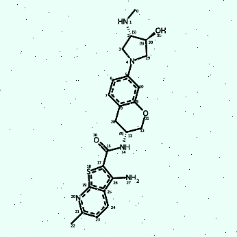 CN[C@H]1CN(c2ccc3c(c2)OC[C@H](NC(=O)c2sc4nc(C)ccc4c2N)C3)C[C@@H]1O